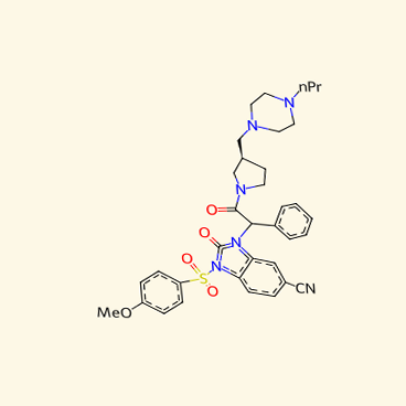 CCCN1CCN(C[C@H]2CCN(C(=O)C(c3ccccc3)n3c(=O)n(S(=O)(=O)c4ccc(OC)cc4)c4ccc(C#N)cc43)C2)CC1